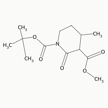 COC(=O)C1C(=O)N(C(=O)OC(C)(C)C)CCC1C